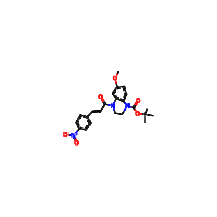 COc1ccc2c(c1)N(C(=O)C=Cc1ccc([N+](=O)[O-])cc1)CCN2C(=O)OC(C)(C)C